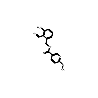 N=Cc1c(N)cccc1CNC(=O)c1ccc(OC(F)(F)F)nc1